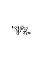 COc1cc(Nc2ncc3c(n2)-c2ccc(Cl)cc2C(c2c(O)cccc2F)=NC3)ccc1C(=O)O